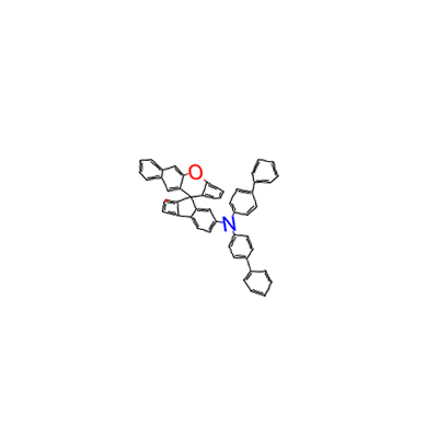 c1ccc(-c2ccc(N(c3ccc(-c4ccccc4)cc3)c3ccc4c(c3)C3(c5ccccc5Oc5cc6ccccc6cc53)c3ccccc3-4)cc2)cc1